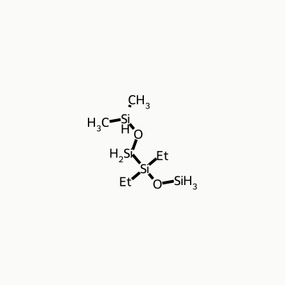 CC[Si](CC)(O[SiH3])[SiH2]O[SiH](C)C